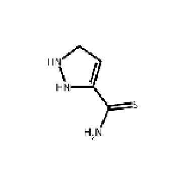 NC(=S)C1=CCNN1